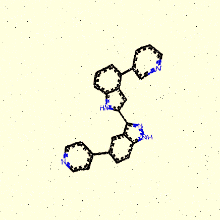 c1cncc(-c2cccc3[nH]c(-c4n[nH]c5ccc(-c6ccncc6)cc45)cc23)c1